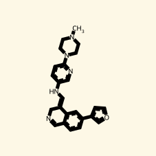 CN1CCN(c2ccc(NC=C3CN=Cc4ccc(-c5ccoc5)cc43)cn2)CC1